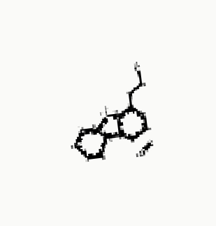 C=O.ClCCc1cccc2c1[nH]c1ccccc12